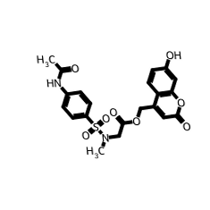 CC(=O)Nc1ccc(S(=O)(=O)N(C)CC(=O)OCc2cc(=O)oc3cc(O)ccc23)cc1